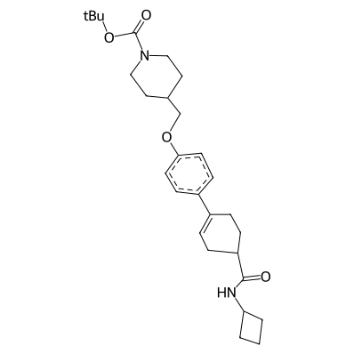 CC(C)(C)OC(=O)N1CCC(COc2ccc(C3=CCC(C(=O)NC4CCC4)CC3)cc2)CC1